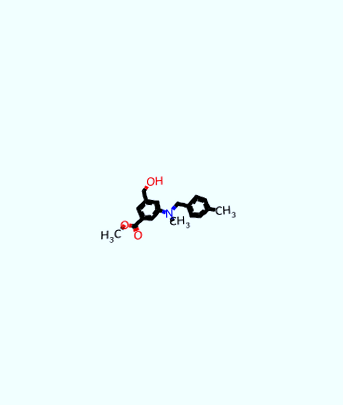 COC(=O)c1cc(CO)cc(N(C)Cc2ccc(C)cc2)c1